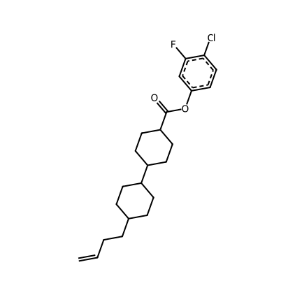 C=CCCC1CCC(C2CCC(C(=O)Oc3ccc(Cl)c(F)c3)CC2)CC1